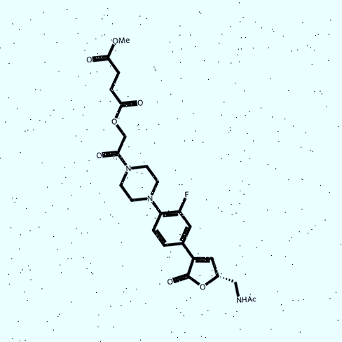 COC(=O)CCC(=O)OCC(=O)N1CCN(c2ccc(C3=C[C@H](CNC(C)=O)OC3=O)cc2F)CC1